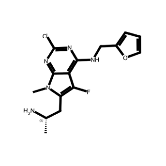 C[C@H](N)Cc1c(F)c2c(NCc3ccco3)nc(Cl)nc2n1C